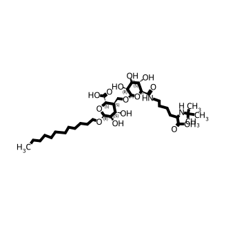 CCCCCCCCCCCCO[C@@H]1O[C@H](C(=O)O)[C@@H](CO[C@@H]2O[C@H](C(=O)NCCCCC(NC(C)(C)C)C(=O)O)[C@@H](O)[C@H](O)[C@H]2O)[C@H](O)[C@H]1O